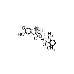 Cc1cccc(C)c1C(=O)OCOC(=O)[C@](C)(Cc1ccc(O)c(O)c1)NN